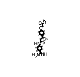 COC(=O)COc1ccc(CCC(=O)Nc2ccc(C(=N)N)cc2)cc1.Cl